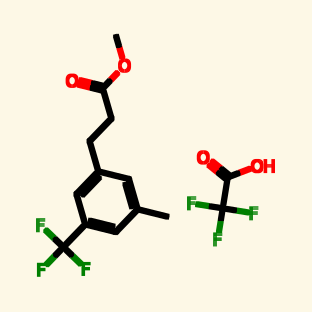 COC(=O)CCc1cc(C)cc(C(F)(F)F)c1.O=C(O)C(F)(F)F